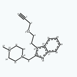 C#CCOCCn1c(CN2CCN(C)CC2)nc2ccccc21